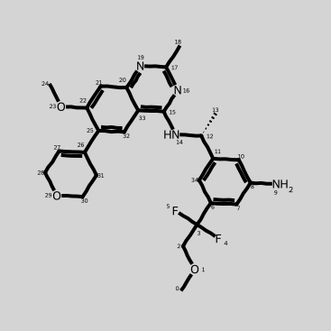 COCC(F)(F)c1cc(N)cc([C@@H](C)Nc2nc(C)nc3cc(OC)c(C4=CCOCC4)cc23)c1